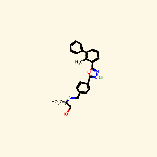 Cc1c(-c2ccccc2)cccc1-c1nnc(-c2ccc(CN[C@@H](CO)C(=O)O)cc2)o1.Cl